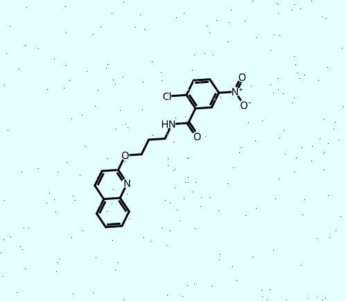 O=C(NCCCOc1ccc2ccccc2n1)c1cc([N+](=O)[O-])ccc1Cl